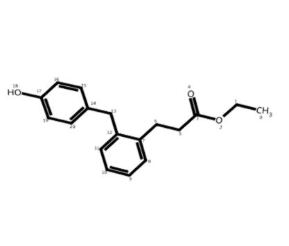 CCOC(=O)CCc1ccccc1Cc1ccc(O)cc1